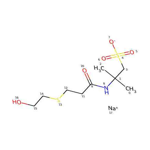 CC(C)(CS(=O)(=O)[O-])NC(=O)CCSCCO.[Na+]